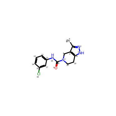 CC(C)c1n[nH]c2c1CN(C(=O)Nc1cccc(Cl)c1)CC2